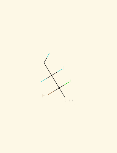 O=C(O)C(Cl)(Br)C(F)(F)CF